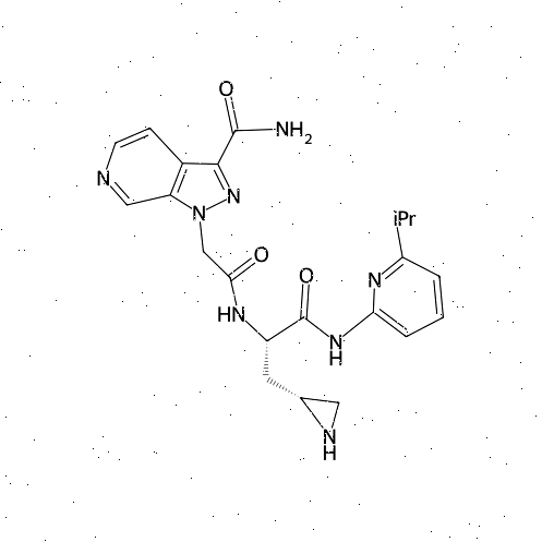 CC(C)c1cccc(NC(=O)[C@H](C[C@@H]2CN2)NC(=O)Cn2nc(C(N)=O)c3ccncc32)n1